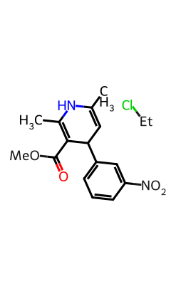 CCCl.COC(=O)C1=C(C)NC(C)=CC1c1cccc([N+](=O)[O-])c1